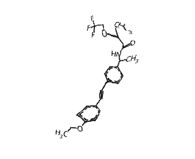 CCOc1ccc(C#Cc2ccc(C(C)NC(=O)C(C)OCC(F)(F)F)cc2)cc1